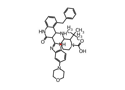 CC(C)(C)C1C(NC2c3c(Cc4ccccc4)cccc3NC(=O)C2c2nc3cc(N4CCOCC4)ccc3[nH]2)CCCN1C(=O)O